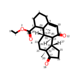 CCOC(=O)C1CCCC2=CC(=O)[C@H]3[C@@H]4CCC(=O)[C@@]4(C)CC[C@@H]3[C@]21C